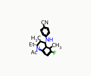 CC[C@@H]1[C@@H](C)[C@H](Nc2ccc(C#N)cc2)C2C(=CC=C(F)C2C)N1C(C)=O